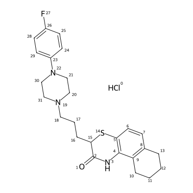 Cl.O=C1Nc2c(ccc3c2CCCC3)SC1CCCN1CCN(c2ccc(F)cc2)CC1